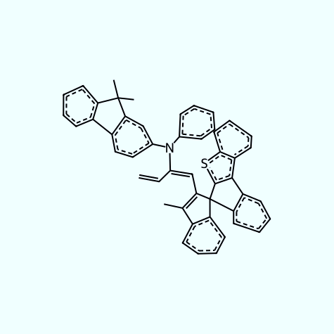 C=C/C(=C\C1=C(C)c2ccccc2C12c1ccccc1-c1c2sc2ccccc12)N(c1ccccc1)c1ccc2c(c1)C(C)(C)c1ccccc1-2